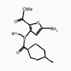 Bc1cc(N(C(=O)C2CCC(C)CC2)C(C)C)c(C(=O)OC)s1